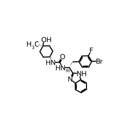 C[C@]1(O)CC[C@H](NC(=O)N[C@H](Cc2ccc(Br)c(F)c2)c2nc3ccccc3[nH]2)CC1